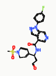 CS(=O)(=O)N1C=CC([C@H](CC=O)NC(=O)c2cncc3c2cnn3-c2ccc(F)cc2)=CC1